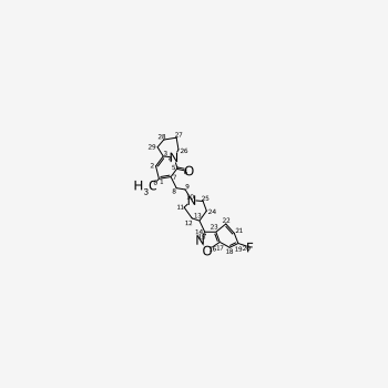 Cc1cc2n(c(=O)c1CCN1CCC(c3noc4cc(F)ccc34)CC1)CCCC2